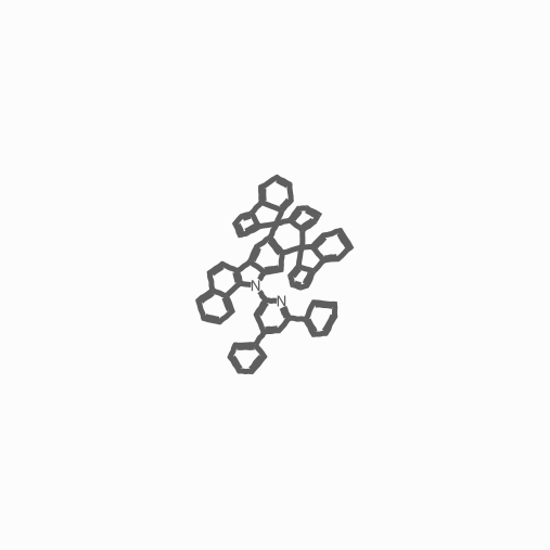 c1ccc(-c2cc(-c3ccccc3)nc(-n3c4cc5c(cc4c4ccc6ccccc6c43)C3(c4ccccc4-c4ccccc43)c3ccccc3C53c4ccccc4-c4ccccc43)c2)cc1